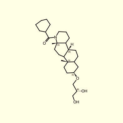 C[C@]12CC[C@H](OC[C@H](O)CO)CC1CC[C@@H]1C2CC[C@@]2(C)C1CCCN2C(=O)C1CCCCC1